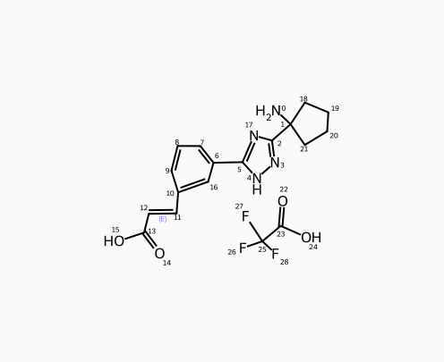 NC1(c2n[nH]c(-c3cccc(/C=C/C(=O)O)c3)n2)CCCC1.O=C(O)C(F)(F)F